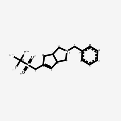 O=S(=O)(CC1=CC2CN(Cc3ccccc3)CC2C1)C(F)(F)F